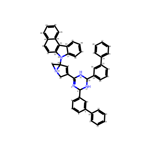 C1=C(C2=NC(c3cccc(-c4ccccc4)c3)NC(c3cccc(-c4ccccc4)c3)N2)CN2CC12n1c2ccccc2c2c3ccccc3ccc21